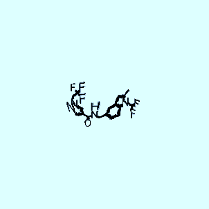 Cc1cc2cc(CNC(=O)c3cnn(CC(F)(F)F)c3)ccc2n1C(F)F